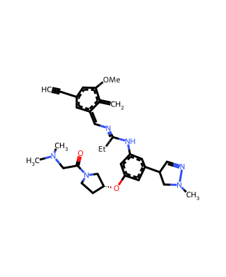 C#Cc1cc(OC)c(=C)/c(=C\N=C(/CC)Nc2cc(O[C@@H]3CCN(C(=O)CN(C)C)C3)cc(C3C=NN(C)C3)c2)c1